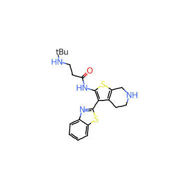 CC(C)(C)NCCC(=O)Nc1sc2c(c1-c1nc3ccccc3s1)CCNC2